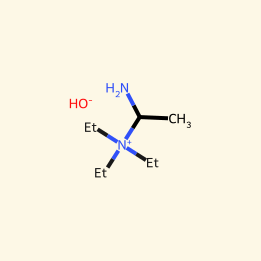 CC[N+](CC)(CC)C(C)N.[OH-]